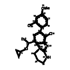 CCC(OC1CC1)c1cc(-c2ccc(OC)cc2Cl)c(Cl)c2nc3n(c12)CCCN3